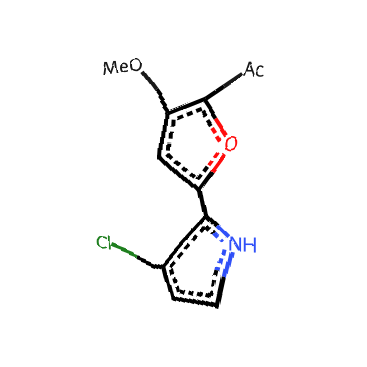 COc1cc(-c2[nH]ccc2Cl)oc1C(C)=O